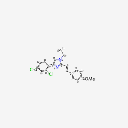 COc1ccc(/C=C/c2nc(-c3ccc(Cl)cc3Cl)cn2CC(C)C)cc1